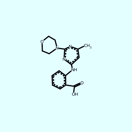 Cc1cc(Nc2ccccc2C(=O)O)nc(N2CCOCC2)n1